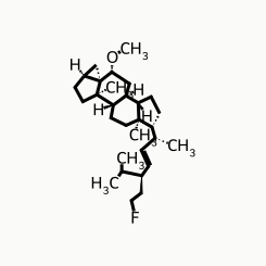 CO[C@@H]1C[C@H]2[C@@H]3CC[C@H]([C@H](C)/C=C/[C@@H](CCF)C(C)C)[C@@]3(C)CC[C@@H]2[C@@]2(C)CC[C@H]3C[C@]312